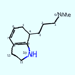 CNCCCC1CC=CC2=C1NCC2